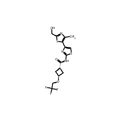 Cc1nc(CO)sc1-c1csc(NC(=O)[C@H]2C[C@H](OCC(F)(F)F)C2)n1